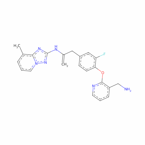 C=C(Cc1ccc(Oc2ncccc2CN)c(F)c1)Nc1nc2c(C)cccn2n1